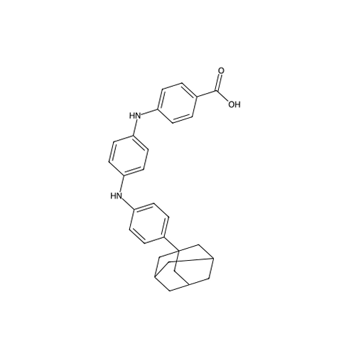 O=C(O)c1ccc(Nc2ccc(Nc3ccc(C45CC6CC(CC(C6)C4)C5)cc3)cc2)cc1